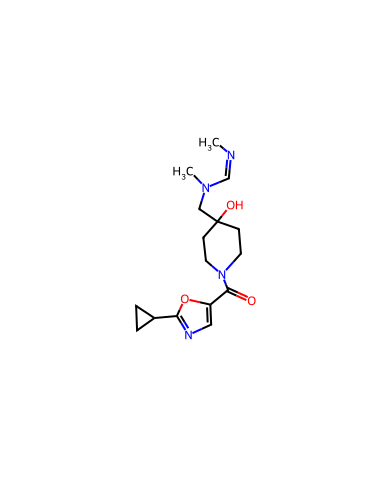 C/N=C\N(C)CC1(O)CCN(C(=O)c2cnc(C3CC3)o2)CC1